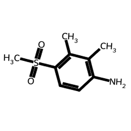 Cc1c(N)ccc(S(C)(=O)=O)c1C